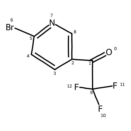 O=C(c1ccc(Br)nc1)C(F)(F)F